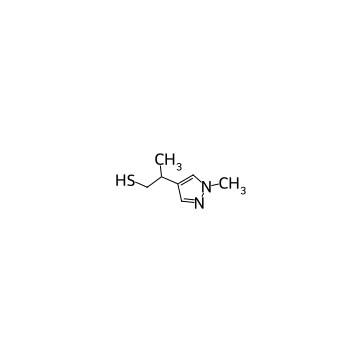 CC(CS)c1cnn(C)c1